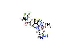 CCOc1cc2[nH]ncc2cc1Nc1ncnc2sc3c(c12)CC[C@H](C(=O)N(C)CC(F)F)C3